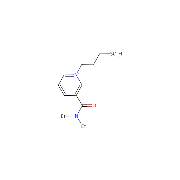 CCN(CC)C(=O)c1ccc[n+](CCCS(=O)(=O)O)c1